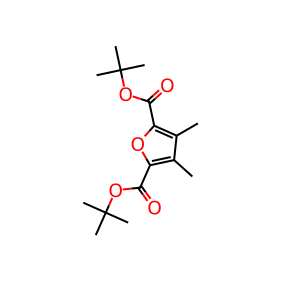 Cc1c(C(=O)OC(C)(C)C)oc(C(=O)OC(C)(C)C)c1C